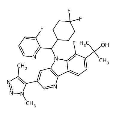 Cc1nnn(C)c1-c1cnc2c3ccc(C(C)(C)O)c(F)c3n(C(c3ncccc3F)C3CCC(F)(F)CC3)c2c1